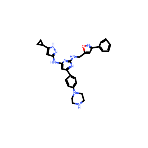 c1ccc(-c2cc(CNc3nc(Nc4cc(C5CC5)[nH]n4)cc(-c4ccc(N5CCNCC5)cc4)n3)on2)cc1